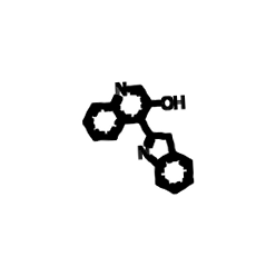 Oc1cnc2ccccc2c1C1=Nc2ccccc2C1